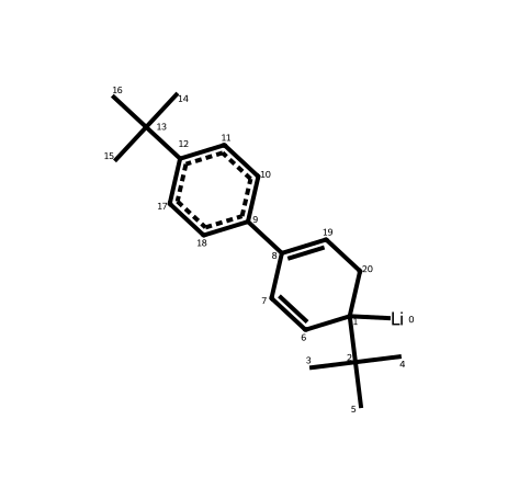 [Li][C]1(C(C)(C)C)C=CC(c2ccc(C(C)(C)C)cc2)=CC1